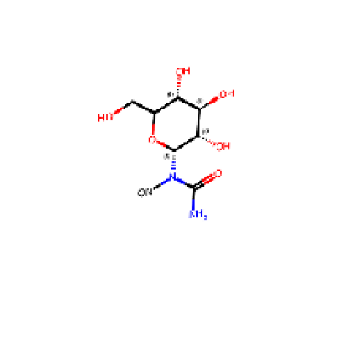 NC(=O)N(N=O)[C@@H]1OC(CO)[C@H](O)[C@@H](O)[C@@H]1O